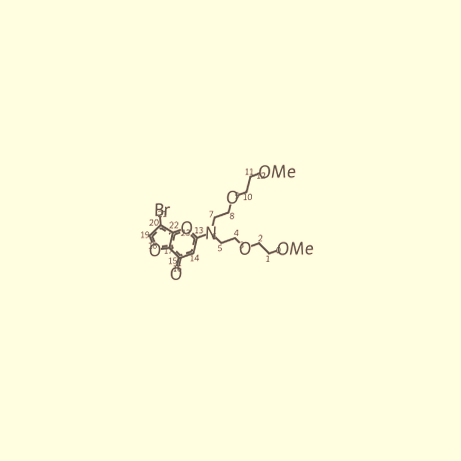 COCCOCCN(CCOCCOC)c1cc(=O)c2occ(Br)c2o1